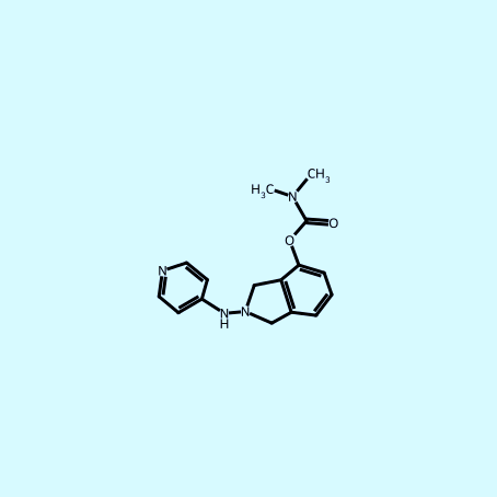 CN(C)C(=O)Oc1cccc2c1CN(Nc1ccncc1)C2